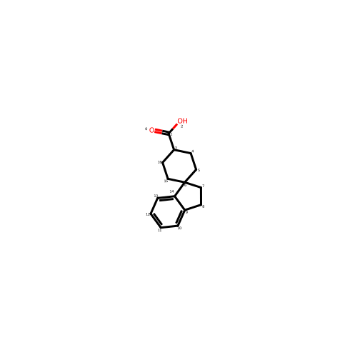 O=C(O)C1CCC2(CCc3ccccc32)CC1